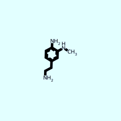 CNc1cc(CCN)ccc1N